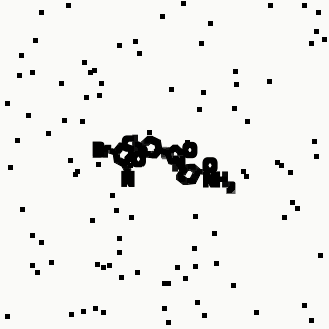 N#Cc1cc(Br)ccc1Oc1cc([C@H]2CC(=O)N(c3cccc(C(N)=O)c3)C2)ccc1Cl